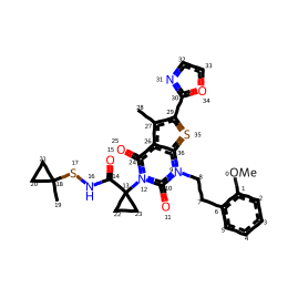 COc1ccccc1CCn1c(=O)n(C2(C(=O)NSC3(C)CC3)CC2)c(=O)c2c(C)c(-c3ncco3)sc21